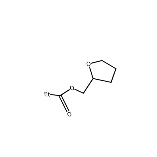 CCC(=O)OCC1CCCO1